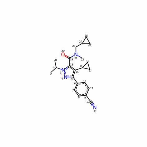 CC(C)n1nc(-c2ccc(C#N)cc2)c(C2CC2)c1C(=O)N(C)CC1CC1